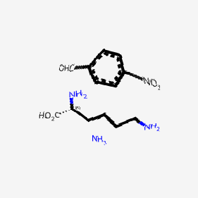 N.NCCCC[C@@H](N)C(=O)O.O=Cc1ccc([N+](=O)[O-])cc1